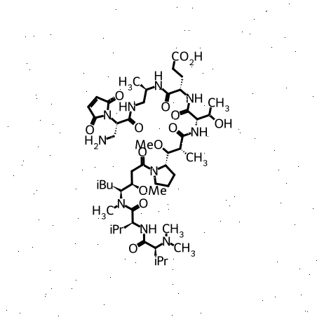 CC[C@H](C)[C@@H]([C@@H](CC(=O)N1CCC[C@H]1C(OC)[C@@H](C)C(=O)N[C@H](C(=O)N[C@@H](CCC(=O)O)C(=O)N[C@H](C)CNC(=O)[C@H](CN)N1C(=O)C=CC1=O)C(C)O)OC)N(C)C(=O)[C@@H](NC(=O)[C@H](C(C)C)N(C)C)C(C)C